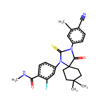 CNC(=O)c1ccc(N2C(=S)N(c3ccc(C#N)c(C)c3)C(=O)C23CCC(C)(C)CC3)cc1F